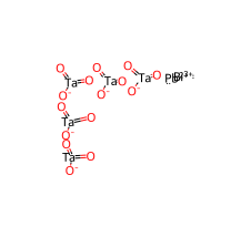 [Bi+3].[O]=[Ta](=[O])[O-].[O]=[Ta](=[O])[O-].[O]=[Ta](=[O])[O-].[O]=[Ta](=[O])[O-].[O]=[Ta](=[O])[O-].[Pb+2]